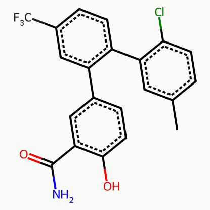 Cc1ccc(Cl)c(-c2ccc(C(F)(F)F)cc2-c2ccc(O)c(C(N)=O)c2)c1